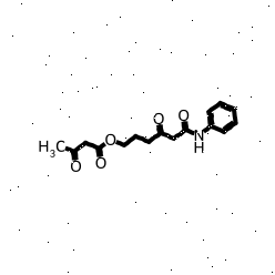 CC(=O)CC(=O)OCCCC(=O)CC(=O)Nc1ccccc1